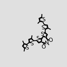 Cc1cc(C)c(-c2cc(C)c(-c3cc4c(=O)n(C)c(=O)c5cc(-c6sc(-c7sc(C)cc7C)cc6C)sc5c4s3)s2)s1